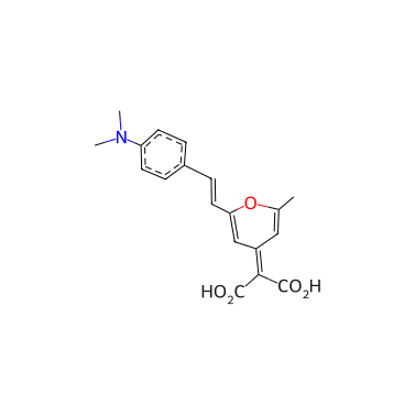 CC1=CC(=C(C(=O)O)C(=O)O)C=C(C=Cc2ccc(N(C)C)cc2)O1